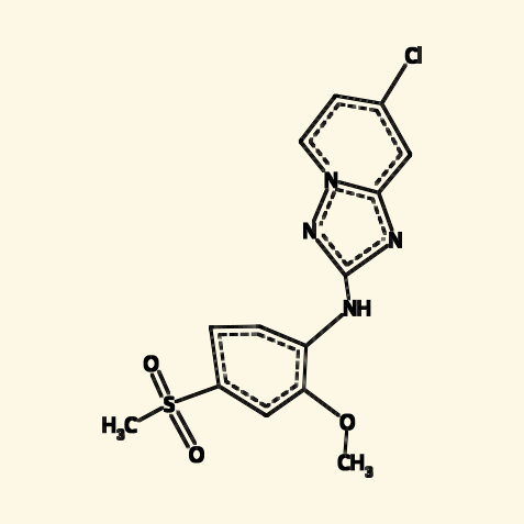 COc1cc(S(C)(=O)=O)ccc1Nc1nc2cc(Cl)ccn2n1